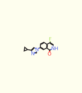 O=c1[nH]cc(F)c2ccc(-n3cnc(C4CC4)c3)cc12